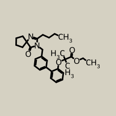 CCCCC1=NC2(CCCC2)C(=O)N1Cc1cccc(-c2ccccc2OC(C)(C)C(=O)OCC)c1